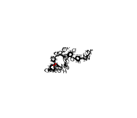 COC[C@@H]1NC(=O)[C@H](C)N(Cc2ccc(Cl)cc2Oc2ccc(-c3cnc(CN(C)C)n3C)cc2)C(=O)CC(OCC(F)(F)F)C(=O)N2CCC[C@@](Cc3ccc(Cl)cc3)(C2)N(C)C1=O